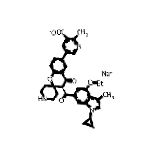 CCOc1cc(C(=O)[C@@H]2C(=O)c3cc(-c4cnc(C)c(C(=O)[O-])c4)ccc3OC23CCNCC3)cc2c1c(C)cn2C1CC1.[Na+]